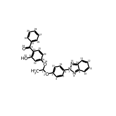 CC(Oc1ccc(-n2nc3ccccc3n2)cc1)Oc1ccc(C(=O)c2ccccc2)c(O)c1